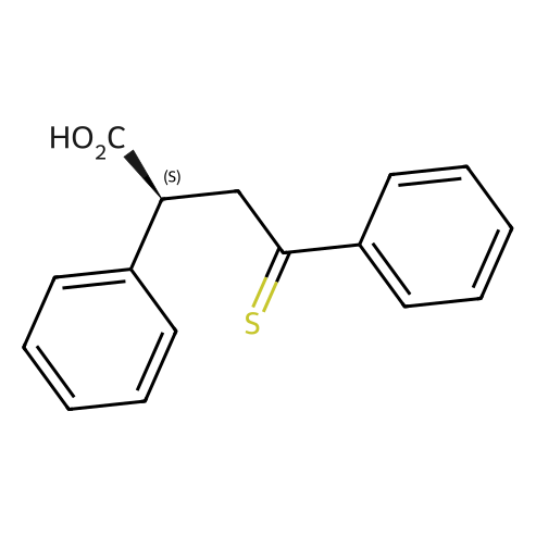 O=C(O)[C@@H](CC(=S)c1ccccc1)c1ccccc1